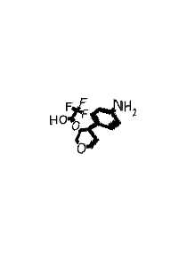 Nc1ccc(C2CCOCC2)cc1.O=C(O)C(F)(F)F